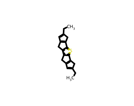 CCC1=CC2=C(C1)c1sc3c(c1C2)CC1=C3CC(CC)=C1